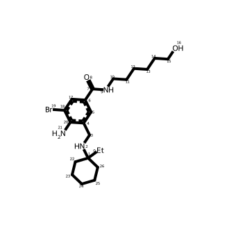 CCC1(NCc2cc(C(=O)NCCCCCCO)cc(Br)c2N)CCCCC1